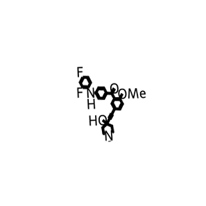 COc1ccc(C#CC2(O)CCN(C)CC2)cc1C(=O)c1ccc(Nc2ccc(F)cc2F)cc1